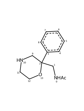 CC(=O)NCC1(c2[c]cccc2)CNCCO1